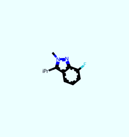 CC(C)c1c2cccc(F)c2nn1C